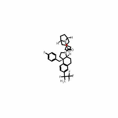 CC(F)(c1ccc2c(c1)CC[C@H]1N(C(=O)[C@@H]3C[C@H]4CC[C@@H](C3)N4C3COC3)CC[C@@]21Cc1ccc(F)cc1)C(F)(F)F